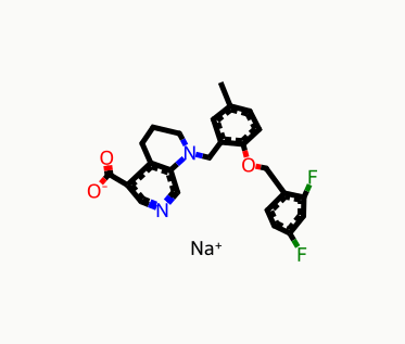 Cc1ccc(OCc2ccc(F)cc2F)c(CN2CCCc3c(C(=O)[O-])cncc32)c1.[Na+]